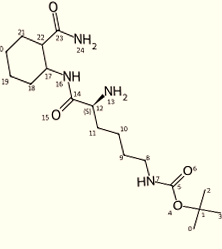 CC(C)(C)OC(=O)NCCCC[C@H](N)C(=O)NC1CCCCC1C(N)=O